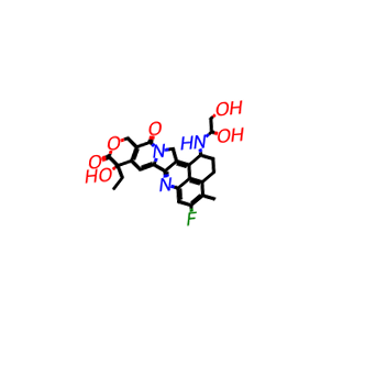 CCC1(O)C(=O)OCc2c1cc1n(c2=O)Cc2c-1nc1cc(F)c(C)c3c1c2C(NC(O)CO)CC3